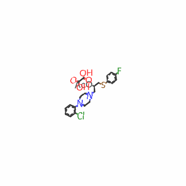 CC(=O)OC(CSc1ccc(F)cc1)CN1CCN(c2ccccc2Cl)CC1.O=C(O)C(=O)O